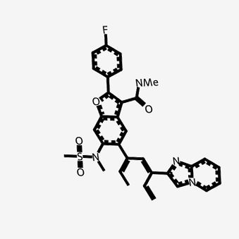 C=C/C(=C\C(=C/C)c1cc2c(C(=O)NC)c(-c3ccc(F)cc3)oc2cc1N(C)S(C)(=O)=O)c1cn2ccccc2n1